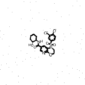 O=C(N[C@@H]1CCCC[C@H]1O)c1cnc2c(c1)N(S(=O)(=O)c1ccc(Cl)c(Cl)c1)CCO2